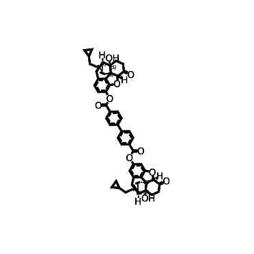 O=C(Oc1cc2c3c(c1)O[C@H]1C(=O)CC[C@@]4(O)[C@@H](C2)N(CC2CC2)CC[C@]314)c1ccc(-c2ccc(C(=O)Oc3ccc4c5c3O[C@H]3C(=O)CC[C@@]6(O)[C@@H](C4)N(CC4CC4)CC[C@]536)cc2)cc1